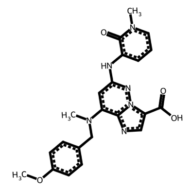 COc1ccc(CN(C)c2cc(Nc3cccn(C)c3=O)nn3c(C(=O)O)cnc23)cc1